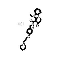 CCN1C2=C(C(=O)NCc3ccc(OCCCN4CCCCC4)cc3)C(=O)CCN2c2ccccc21.Cl